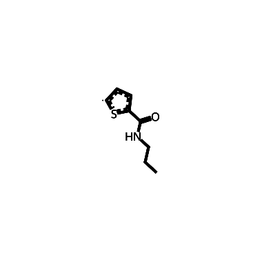 CCCNC(=O)c1cc[c]s1